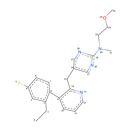 CCc1cc(F)ccc1-c1cccnc1Cc1cnc(N(C)CCOC)nc1